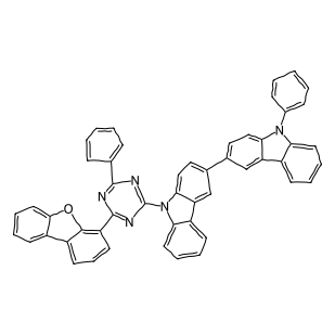 c1ccc(-c2nc(-c3cccc4c3oc3ccccc34)nc(-n3c4ccccc4c4cc(-c5ccc6c(c5)c5ccccc5n6-c5ccccc5)ccc43)n2)cc1